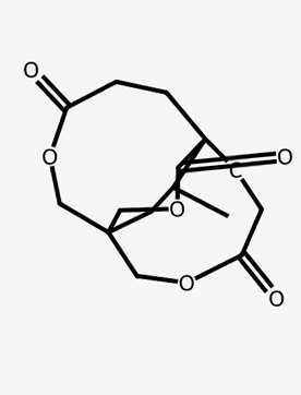 CC1CC23COC(=O)CCC1(CCC(=O)OC2)C(=O)OC3